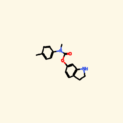 Cc1ccc(N(C)C(=O)Oc2ccc3c(c2)NCC3)cc1